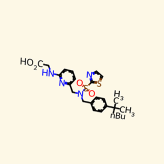 CCCCC(C)(C)c1ccc(CN(Cc2cccc(NCC(=O)O)n2)S(=O)(=O)c2nccs2)cc1